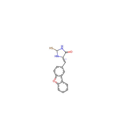 O=C1NC(S)N/C1=C\c1ccc2oc3ccccc3c2c1